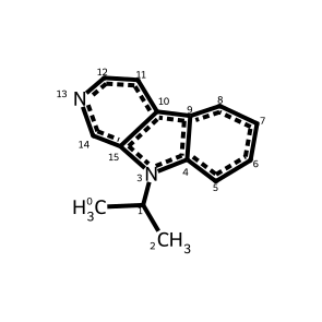 CC(C)n1c2ccccc2c2ccncc21